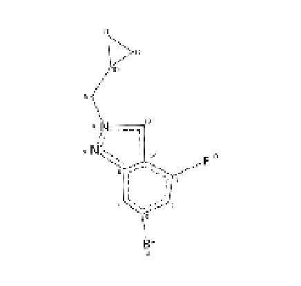 Fc1cc(Br)cc2nn(CC3CC3)cc12